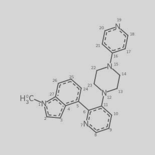 Cn1ccc2c(-c3ncccc3N3CCN(c4ccncc4)CC3)cccc21